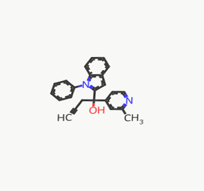 C#CCC(O)(c1ccnc(C)c1)c1cc2ccccc2n1-c1ccccc1